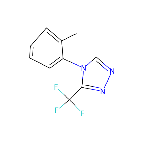 Cc1ccccc1-n1cnnc1C(F)(F)F